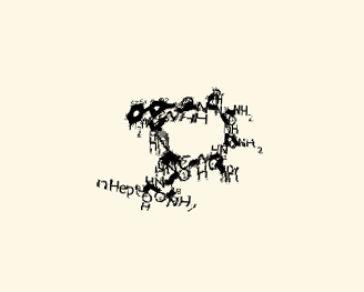 CCCCCCC[C@@H](O)CC(=O)N[C@@H](CCN)C(=O)N[C@@H]1CCNC(=O)[C@H](CCC(C)C)NC(=O)[C@H](CCN)NC(=O)[C@H](CCN)NC(=O)[C@H](CC(C)C)NC(=O)[C@@H](Cc2ccc(-c3ccccc3)cc2)NC(=O)[C@H](CCN)NC1=O